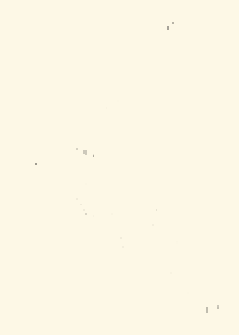 CCCS(=O)(=O)Cc1cccc(Nc2sc(-c3c(F)cc(C(C)(C)O)cc3F)cc2C(N)=O)n1